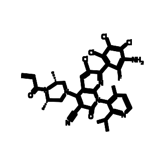 C=CC(=O)N1[C@H](C)CN(c2c(C#N)c(=O)n(-c3c(C)ccnc3C(C)C)c3nc(-c4c(F)c(N)c(Cl)c(Cl)c4Cl)c(Cl)cc23)C[C@@H]1C